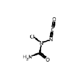 NC(=O)N(Cl)N=C=O